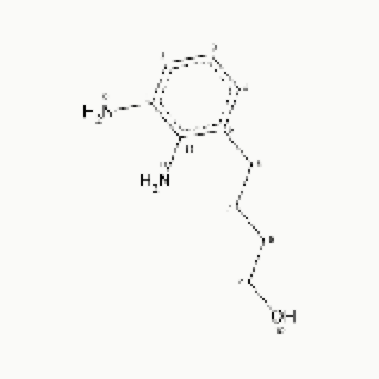 Nc1cccc(CCCCO)c1N